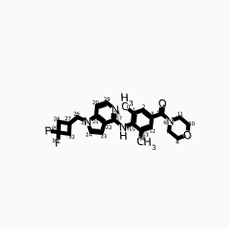 Cc1cc(C(=O)N2CCOCC2)cc(C)c1Nc1nccc2c1ccn2CC1CC(F)(F)C1